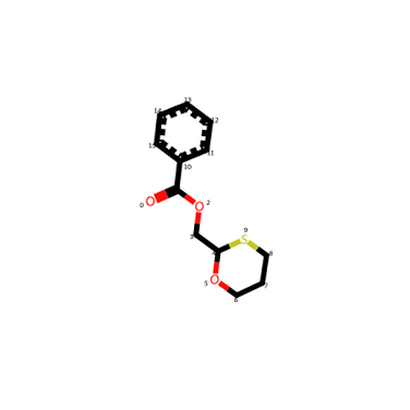 O=C(OCC1OCCCS1)c1ccccc1